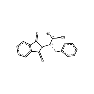 N#C[C@H](O)[C@H](Cc1ccccc1)N1C(=O)c2ccccc2C1=O